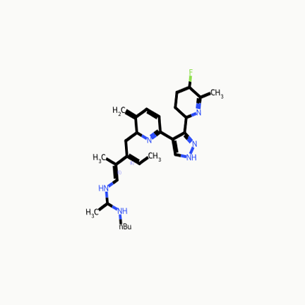 C=C1C=CC(c2c[nH]nc2C2CCC(F)C(C)=N2)=NC1CC(=C\C)/C(C)=C/NC(C)NCCCC